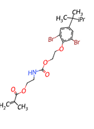 C=C(C)C(=O)OCCNC(=O)OCCOc1c(Br)cc(C(C)(C)C(C)C)cc1Br